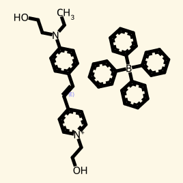 CCN(CCO)c1ccc(/C=C/c2cc[n+](CCO)cc2)cc1.c1ccc([B-](c2ccccc2)(c2ccccc2)c2ccccc2)cc1